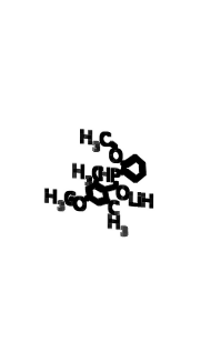 CCOc1ccccc1PC(=O)c1c(C)cc(OC)cc1C.[LiH]